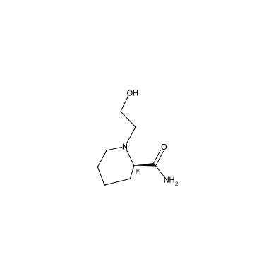 NC(=O)[C@H]1CCCCN1CCO